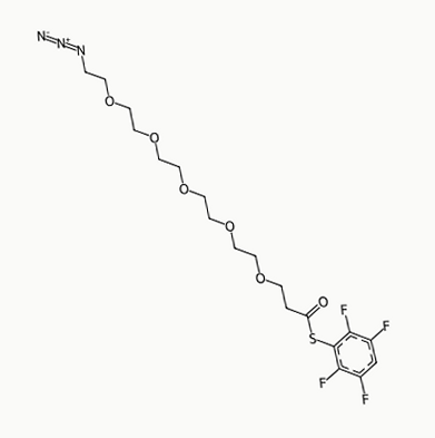 [N-]=[N+]=NCCOCCOCCOCCOCCOCCC(=O)Sc1c(F)c(F)cc(F)c1F